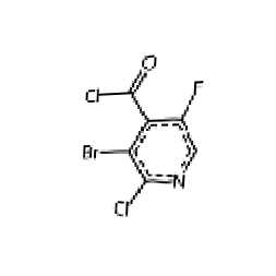 O=C(Cl)c1c(F)cnc(Cl)c1Br